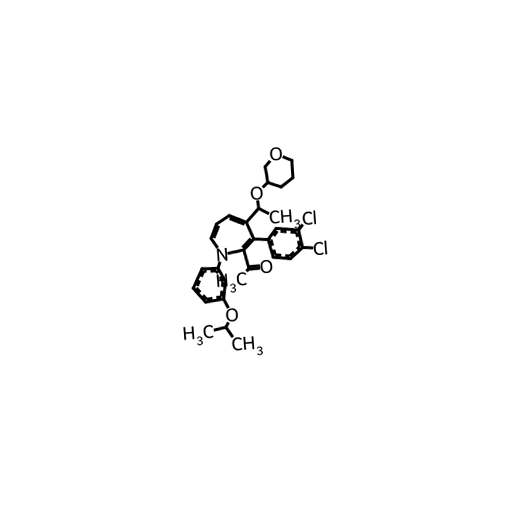 CC(=O)C1=C(c2ccc(Cl)c(Cl)c2)C(C(C)OC2CCCOC2)=CC=CN1c1cccc(OC(C)C)c1